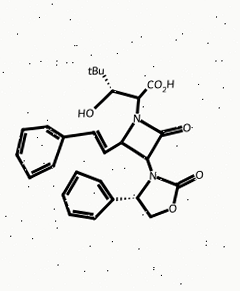 CC(C)(C)[C@@H](O)C(C(=O)O)N1C(=O)C(N2C(=O)OC[C@@H]2c2ccccc2)C1C=Cc1ccccc1